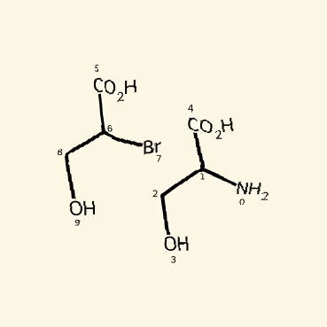 NC(CO)C(=O)O.O=C(O)C(Br)CO